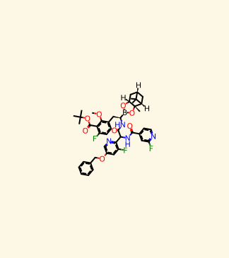 COc1c(C[C@H](NC(=O)C(NC(=O)c2ccnc(F)c2)c2ncc(OCc3ccccc3)cc2F)B2O[C@@H]3C[C@@H]4C[C@@H](C4(C)C)[C@]3(C)O2)ccc(F)c1C(=O)OC(C)(C)C